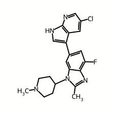 Cc1nc2c(F)cc(-c3c[nH]c4ncc(Cl)cc34)cc2n1C1CCN(C)CC1